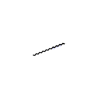 [CH]=C/C=C/C=C/C=C/CCCCCCCCCCCC